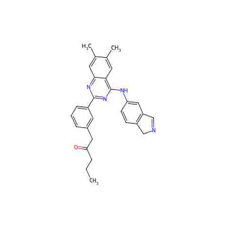 CCCC(=O)Cc1cccc(-c2nc(Nc3ccc4c(c3)C=NC4)c3cc(C)c(C)cc3n2)c1